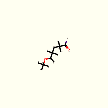 CC(OC(C)(C)C)C(C)(C)CC(C)(C)C(=O)I